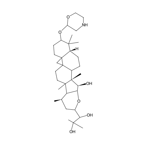 C[C@@H]1CC(C(O)C(C)(C)O)OC2C1C1(C)CCC34CC35CCC(OC3CNCCO3)C(C)(C)[C@@H]5CCC4[C@]1(C)[C@H]2O